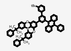 CC(C)(C)c1cccc(-c2cc(-c3cc4c5c(c3)Oc3ccc(C(C)(C)c6ccccc6)cc3B5c3cc(C(C)(C)c5ccccc5)ccc3O4)cc(-c3c4ccccc4c(-c4ccccc4)c4ccccc34)c2)c1